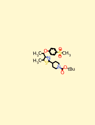 CC(Oc1ccc(S(C)(=O)=O)cc1)C1N=C(C2CCN(C(=O)OC(C)(C)C)CC2)SC1C